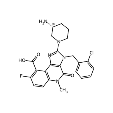 Cn1c(=O)c2c(nc(N3CCC[C@@H](N)C3)n2Cc2ccccc2Cl)c2c(C(=O)O)c(F)ccc21